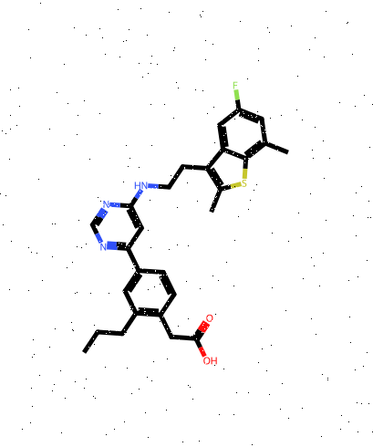 CCCc1cc(-c2cc(NCCc3c(C)sc4c(C)cc(F)cc34)ncn2)ccc1CC(=O)O